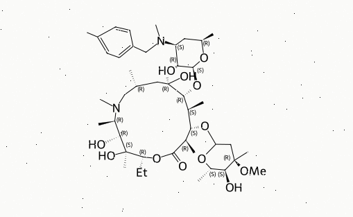 CC[C@H]1OC(=O)[C@H](C)[C@@H](OC2C[C@@](C)(OC)[C@@H](O)[C@H](C)O2)[C@H](C)[C@@H](O[C@@H]2O[C@H](C)C[C@H](N(C)Cc3ccc(C)cc3)[C@H]2O)[C@](C)(O)C[C@@H](C)CN(C)[C@H](C)[C@@H](O)[C@]1(C)O